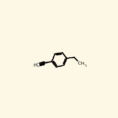 C#Cc1[c]cc(CC)cc1